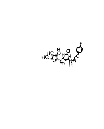 C[C@H](COc1ccc(F)cc1)Nc1nc(Cl)nc2c1ncn2[C@@H]1O[C@H](CO)[C@@H](O)[C@H]1O